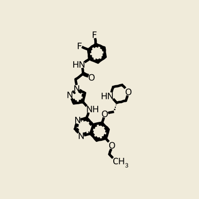 CCOc1cc(OC[C@H]2COCCN2)c2c(Nc3cnn(CC(=O)Nc4cccc(F)c4F)c3)ncnc2c1